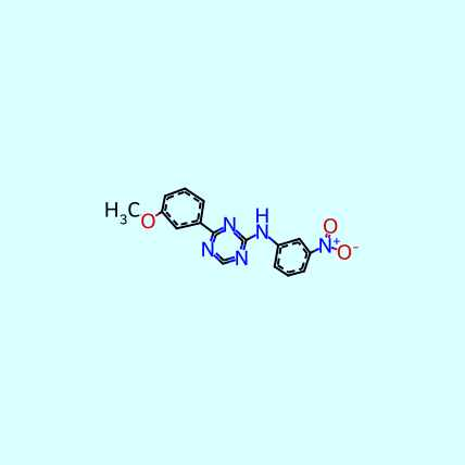 COc1cccc(-c2ncnc(Nc3cccc([N+](=O)[O-])c3)n2)c1